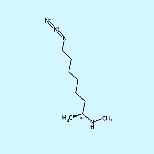 CN[C@@H](C)CCCCCCN=[N+]=[N-]